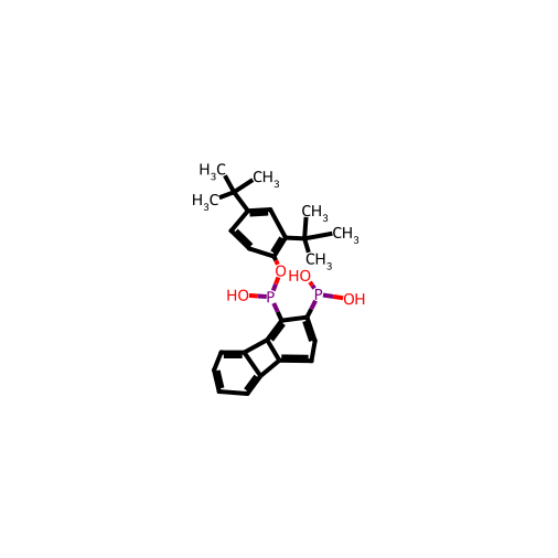 CC(C)(C)c1ccc(OP(O)c2c(P(O)O)ccc3c2-c2ccccc2-3)c(C(C)(C)C)c1